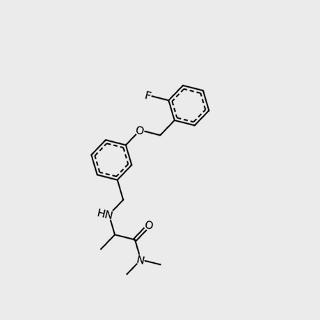 CC(NCc1cccc(OCc2ccccc2F)c1)C(=O)N(C)C